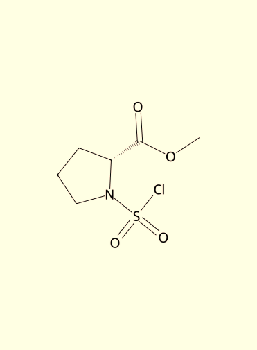 COC(=O)[C@H]1CCCN1S(=O)(=O)Cl